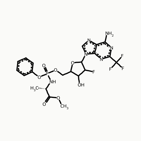 COC(=O)[C@H](C)NP(=O)(OCC1OC(n2cnc3c(N)nc(C(F)(F)F)nc32)C(F)C1O)Oc1ccccc1